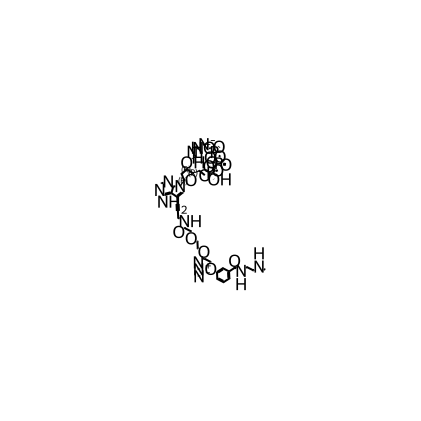 CNCCNC(=O)c1cccc(OCC(N=[N+]=[N-])OCCOCC(=O)NCC#Cc2cn([C@H]3C[C@@H](OCN=[N+]=[N-])[C@@H](COP(=O)(O)OP(=O)(O)OP(=O)(O)O)O3)c3ncnc(N)c23)c1